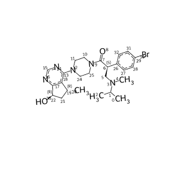 CC(C)N(C)C[C@@H](C(=O)N1CCN(c2ncnc3c2[C@H](C)C[C@H]3O)CC1)c1ccc(Br)cc1